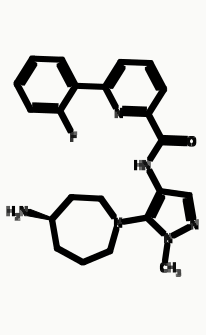 Cn1ncc(NC(=O)c2cccc(-c3ccccc3F)n2)c1N1CCC[C@@H](N)CC1